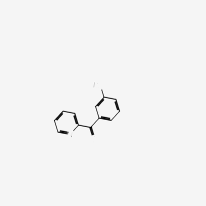 CC(C)(C)c1cccc(C(=O)c2ccccn2)c1